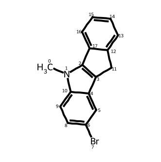 Cn1c2c(c3cc(Br)ccc31)Cc1ccccc1-2